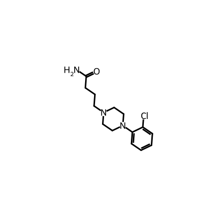 NC(=O)CCCN1CCN(c2ccccc2Cl)CC1